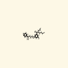 CCCCN(CCC)C(=O)c1cc(C)cc(OCCCNc2ccncc2)c1